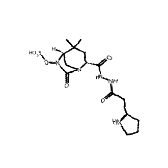 CC1(C)C[C@@H](C(=O)NNC(=O)CC2CCCN2)N2C[C@@H]1N(OS(=O)(=O)O)C2=O